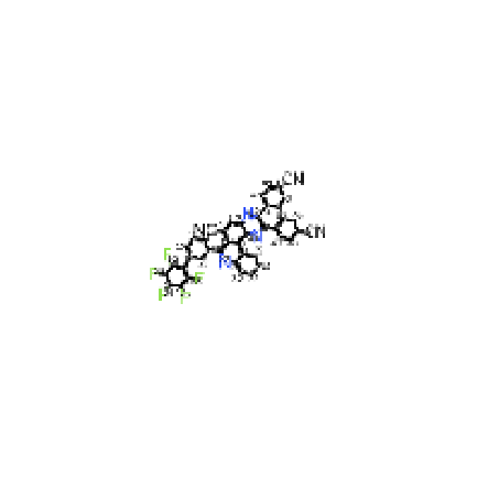 N#Cc1ccc(-c2nc3cc(C#N)c4c(-c5cccc(-c6c(F)c(F)c(F)c(F)c6F)c5)nc5ccccc5c4c3nc2-c2ccc(C#N)cc2)cc1